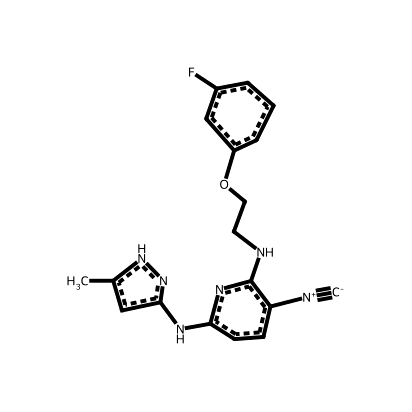 [C-]#[N+]c1ccc(Nc2cc(C)[nH]n2)nc1NCCOc1cccc(F)c1